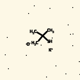 CC(C)(C)S.[K+].[O-]